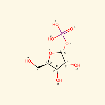 O=P(O)(O)O[C@H]1O[C@H](CO)[C@H](O)[C@H]1O